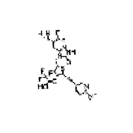 CN(C)c1ccc(C#Cc2ccc(Cn3c(CC(CN)=C(F)F)n[nH]c3=O)s2)cn1.O=C(O)C(F)(F)F